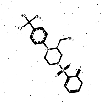 CC(O)(c1ccc(N2CCN(S(=O)(=O)C3=CC=CCC3=S)C[C@@H]2CN)cc1)C(F)(F)F